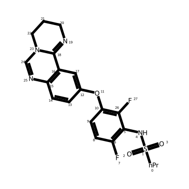 CCCS(=O)(=O)Nc1c(F)ccc(Oc2ccc3c(c2)C2=NCCCN2C=N3)c1F